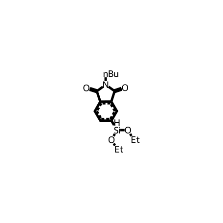 CCCCN1C(=O)c2ccc([SiH](OCC)OCC)cc2C1=O